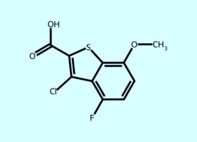 COc1ccc(F)c2c(Cl)c(C(=O)O)sc12